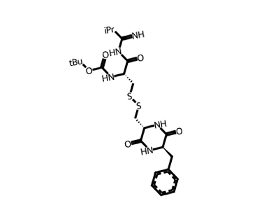 CC(C)C(=N)NC(=O)[C@H](CSSC[C@@H]1NC(=O)[C@@H](Cc2ccccc2)NC1=O)NC(=O)OC(C)(C)C